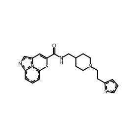 O=C(NCC1CCN(CCc2cccs2)CC1)C1=Cc2cnc3cccc(n23)S1